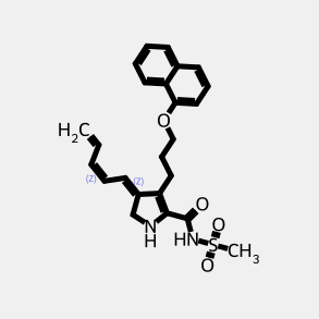 C=C/C=C\C=C1/CNC(C(=O)NS(C)(=O)=O)=C1CCCOc1cccc2ccccc12